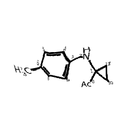 CC(=O)C1(Nc2ccc(C)cc2)CC1